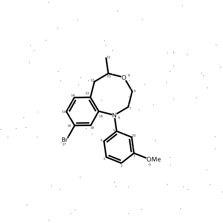 COc1cccc(N2CCOC(C)Cc3ccc(Br)cc32)c1